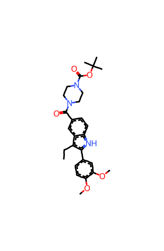 CCc1c(-c2ccc(OC)c(OC)c2)[nH]c2ccc(C(=O)N3CCN(C(=O)OC(C)(C)C)CC3)cc12